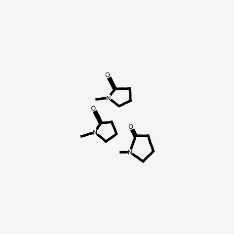 CN1CCCC1=O.CN1CCCC1=O.CN1CCCC1=O